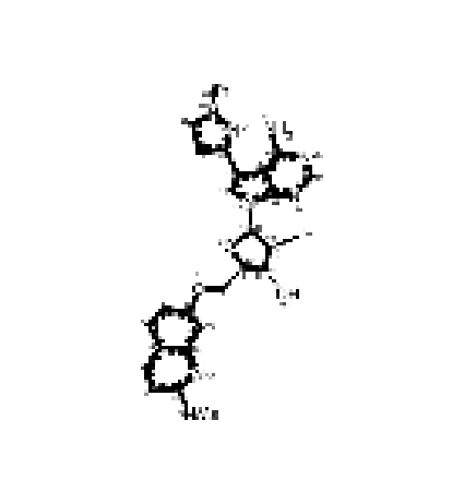 CNc1ccc2ccc(OC[C@H]3O[C@@H](n4cc(-c5ccn(C(C)C)n5)c5c(N)ncnc54)[C@@H](F)[C@@H]3O)cc2n1